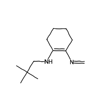 C=NC1=C(NCC(C)(C)C)CCCC1